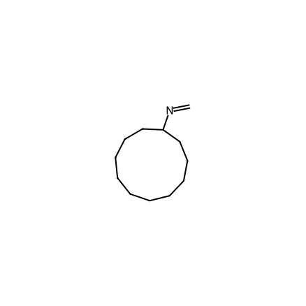 C=NC1CCCCCCCCCC1